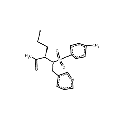 CC(=O)[C@@H](CCF)N(Cc1cccnc1)S(=O)(=O)c1ccc(C)cc1